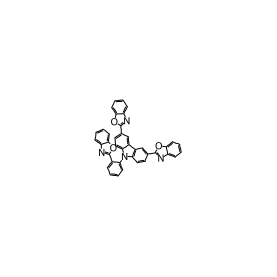 c1ccc(-n2c3ccc(-c4nc5ccccc5o4)cc3c3cc(-c4nc5ccccc5o4)ccc32)c(-c2nc3ccccc3o2)c1